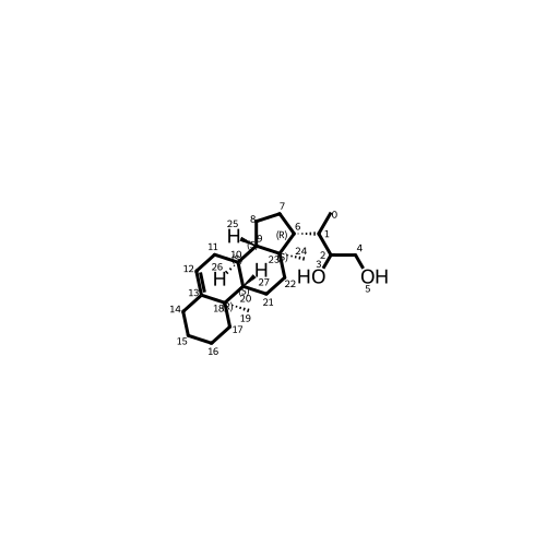 CC(C(O)CO)[C@H]1CC[C@H]2[C@@H]3CC=C4CCCC[C@]4(C)[C@H]3CC[C@]12C